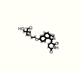 O=C1CCC(c2noc3ccc4cc(OCCN5CC(CO)(CCl)C5)ccc4c23)C(=O)N1